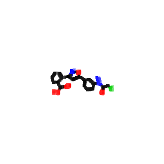 O=C(CCl)Nc1cccc(-c2cc(-c3ccccc3C(=O)O)no2)c1